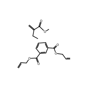 C=C(CC)C(=O)OC.C=CCOC(=O)c1cccc(C(=O)OCC=C)c1